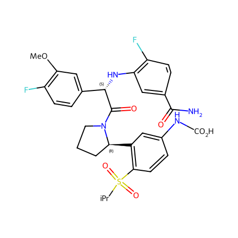 COc1cc([C@H](Nc2cc(C(N)=O)ccc2F)C(=O)N2CCC[C@@H]2c2cc(NC(=O)O)ccc2S(=O)(=O)C(C)C)ccc1F